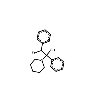 CCC(c1ccccc1)C(O)(c1ccccc1)N1CCCCC1